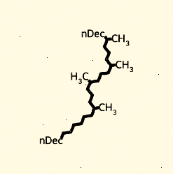 CCCCCCCCCCCCCCCCC(C)CCCC(C)CCCC(C)CCCC(C)CCCCCCCCCC